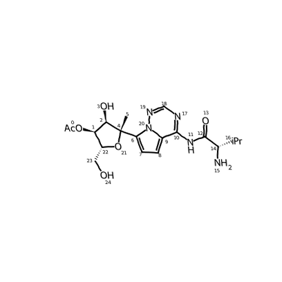 CC(=O)O[C@H]1[C@@H](O)[C@](C)(c2ccc3c(NC(=O)[C@@H](N)C(C)C)ncnn23)O[C@@H]1CO